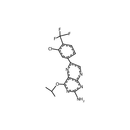 CC(C)Oc1nc(N)nc2ncc(-c3ccc(C(F)(F)F)c(Cl)c3)nc12